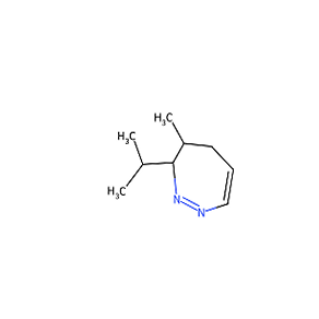 CC(C)C1N=NC=CCC1C